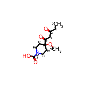 CCC(=O)CC(=O)C1(OC)CCN(C(=O)O)CC1